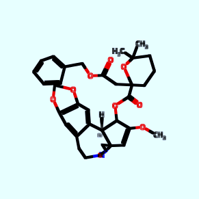 COC1=CC23CCCN2CCc2cc4c(cc2[C@@H]3C1OC(=O)C1(CC(=O)OCc2ccccc2)CCCC(C)(C)O1)OCO4